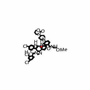 COCCNC(=O)c1ccc(N2CCC(N3CCCOC3=O)CC2)c(NC(=O)c2[nH]c3cc(Cl)ccc3c2-c2c(-c3ccccc3)ncn2[C@@H](C)c2ccc(Cl)cc2Cl)c1